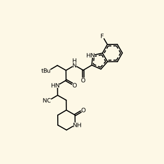 CC(C)(C)CC(NC(=O)c1cc2cccc(F)c2[nH]1)C(=O)NC(C#N)CC1CCCNC1=O